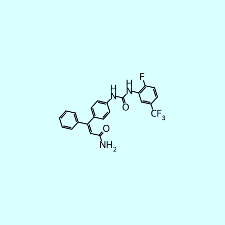 NC(=O)C=C(c1ccccc1)c1ccc(NC(=O)Nc2cc(C(F)(F)F)ccc2F)cc1